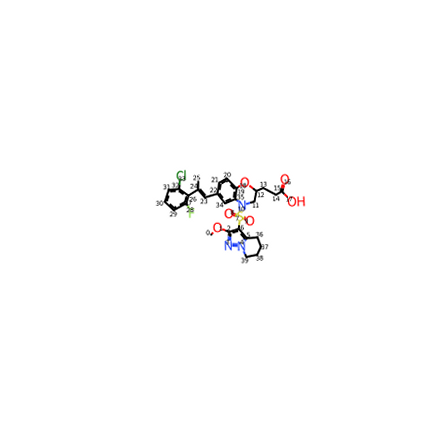 COc1nn2c(c1S(=O)(=O)N1CC(CCC(=O)O)Oc3ccc(C=C(C)c4c(F)cccc4Cl)cc31)CCCC2